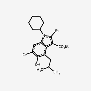 CCOC(=O)c1c(CC)n(C2CCCCC2)c2cc(Cl)c(O)c(CN(C)C)c12